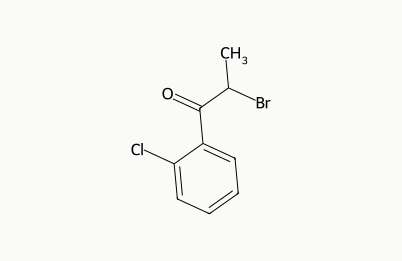 CC(Br)C(=O)c1ccccc1Cl